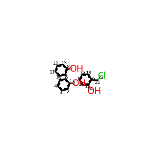 Oc1ccccc1.Oc1ccccc1.Oc1ccccc1CCl